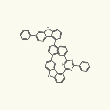 c1ccc(-c2ccc3c(c2)oc2cccc(-c4ccc(-c5ccc6oc7cccc(-c8nc(-c9ccccc9)nc(-c9ccccc9)n8)c7c6c5)cc4)c23)cc1